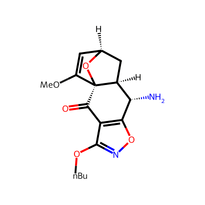 CCCCOc1noc2c1C(=O)[C@@]13O[C@@H](C=C1OC)C[C@H]3[C@@H]2N